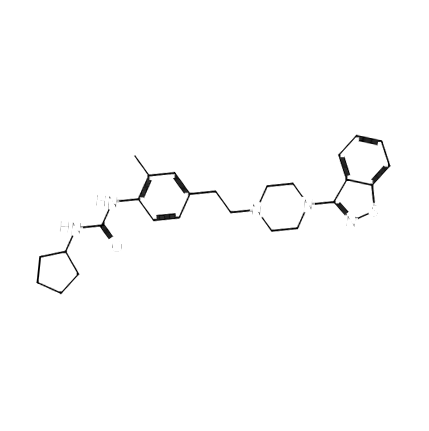 Cc1cc(CCN2CCN(c3nsc4ccccc34)CC2)ccc1NC(=O)NC1CCCC1